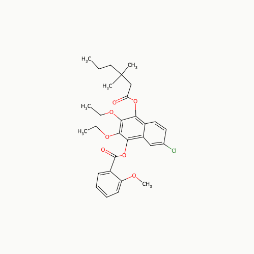 CCCC(C)(C)CC(=O)Oc1c(OCC)c(OCC)c(OC(=O)c2ccccc2OC)c2cc(Cl)ccc12